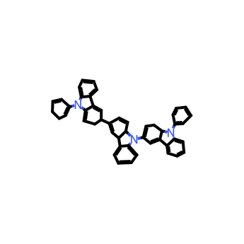 C1=CC(n2c3c(c4ccccc42)=CC(C2=CC4c5ccccc5N(C5=CCC6C(=C5)c5ccccc5N6c5ccccc5)C4C=C2)CC=3)=CCC1